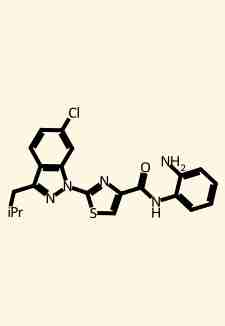 CC(C)Cc1nn(-c2nc(C(=O)Nc3ccccc3N)cs2)c2cc(Cl)ccc12